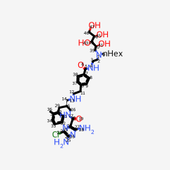 CCCCCCN(CCNC(=O)c1ccc(CCNC[C@H](CNC(=O)c2nc(Cl)c(N)nc2N)Cc2ccccc2C)cc1)C[C@H](O)[C@@H](O)[C@H](O)CO